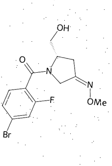 CON=C1C[C@@H](CO)N(C(=O)c2ccc(Br)cc2F)C1